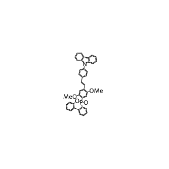 COc1cc(P2(=O)Oc3ccccc3-c3ccccc32)c(OC)cc1/C=C/c1ccc(-n2c3ccccc3c3ccccc32)cc1